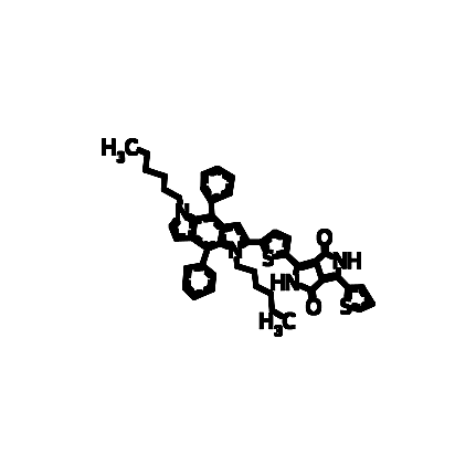 CCCCCCn1ccc2c(-c3ccccc3)c3c(cc(-c4ccc(C5=C6C(=O)NC(c7cccs7)=C6C(=O)N5)s4)n3CCCCCC)c(-c3ccccc3)c21